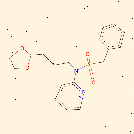 O=S(=O)(Cc1ccccc1)N(CCCC1OCCO1)c1ccccn1